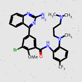 COc1c(Br)cc(-c2nc(N)nc3ccccc23)cc1C(=O)Nc1cc(C(F)(F)F)ccc1N(C)CCCN(C)C